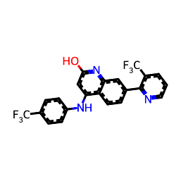 Oc1cc(Nc2ccc(C(F)(F)F)cc2)c2ccc(-c3ncccc3C(F)(F)F)cc2n1